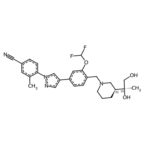 Cc1cc(C#N)ccc1-n1cc(-c2ccc(CN3CCC[C@H]([C@](C)(O)CO)C3)c(OC(F)F)c2)cn1